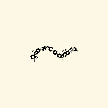 O=C1CC[C@H](N2Cc3cc(N4CC5(CN(CC6CCN(c7ccc(-c8cnc9[nH]cc(C(=O)c%10c(F)ccc(NS(=O)(=O)N%11CC[C@@H](F)C%11)c%10F)c9c8)cc7)CC6)C5)C4)ccc3C2=O)C(=O)N1